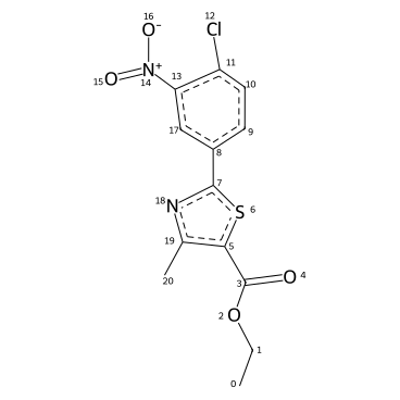 CCOC(=O)c1sc(-c2ccc(Cl)c([N+](=O)[O-])c2)nc1C